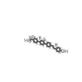 CCCC(O)c1ccc(-c2ccc(-c3ccc(/C=C/c4ccc(O)cc4F)cc3)c(F)c2F)cc1